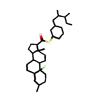 CCC(C)C(C)CC1CCCC(SC(=O)C2CCC3C4CCC5CC(C)CCC5(F)C4CCC23C)C1